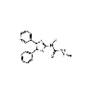 CCCCCNC(=O)N(S)c1nc(-c2ccccc2)c(-c2ccccc2)s1